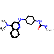 CCCCCNC(=O)NC1CCC(Nc2cc(N(C)C)c3ccccc3n2)CC1